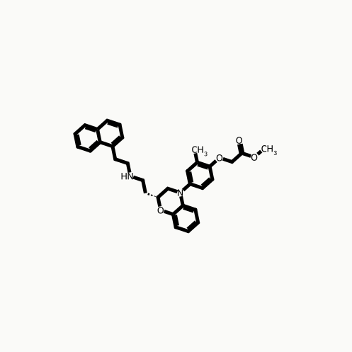 COC(=O)COc1ccc(N2C[C@@H](CCNCCc3cccc4ccccc34)Oc3ccccc32)cc1C